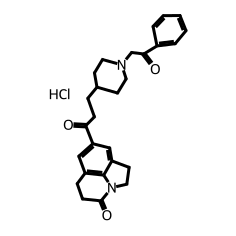 Cl.O=C(CCC1CCN(CC(=O)c2ccccc2)CC1)c1cc2c3c(c1)CCN3C(=O)CC2